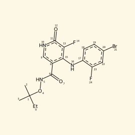 CCC(C)(C)ONC(=O)c1c[nH]c(=O)c(F)c1Nc1ccc(Br)cc1F